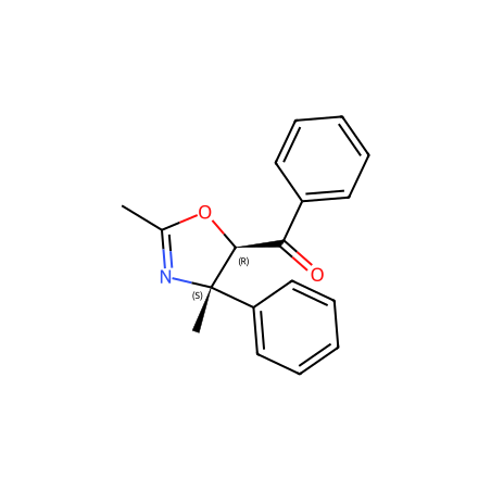 CC1=N[C@@](C)(c2ccccc2)[C@H](C(=O)c2ccccc2)O1